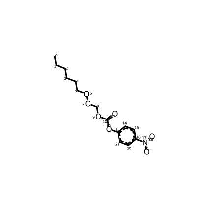 CCCCCCOOCOC(=O)Oc1ccc([N+](=O)[O-])cc1